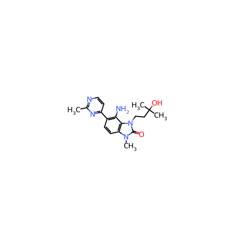 Cc1nccc(-c2ccc3c(c2N)n(CCC(C)(C)O)c(=O)n3C)n1